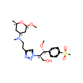 CO[C@H]1C[C@@H](N(C)CCc2cn([C@H](CO)[C@H](OC)c3ccc(S(C)(=O)=O)cc3)nn2)C[C@@H](C)O1